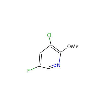 COc1ncc(F)cc1Cl